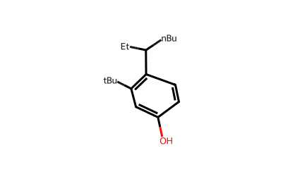 CCCCC(CC)c1ccc(O)cc1C(C)(C)C